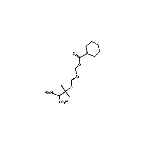 CC(=O)NC(C(=O)O)C(C)(C)SCOCOC(=O)C1CCCCC1